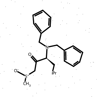 CC(C)C[C@@H](C(=O)C[S+](C)[O-])N(Cc1ccccc1)Cc1ccccc1